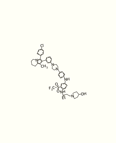 CC[C@@H](CCN1CCC(O)CC1)Nc1ccc(Nc2ccc(N3CCN(c4cccc(-c5c(C)c6n(c5-c5ccc(Cl)cc5)CCCC6)c4)CC3)cc2)cc1S(=O)(=O)C(F)(F)F